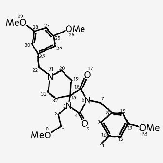 COCCN1C(=O)N(Cc2cc(C)cc(OC)c2)C(=O)C12CCN(Cc1cc(OC)cc(OC)c1)CC2